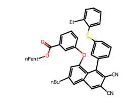 CCCCCOC(=O)c1cccc(Oc2cc(CCCC)cc3cc(C#N)c(C#N)c(-c4cccc(Sc5ccccc5CC)c4)c23)c1